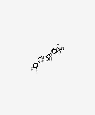 O=c1[nH]c2ccc(OC[C@@H](O)CN3CCN(c4ccc(F)c(F)c4)CC3)cc2o1